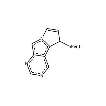 CCCCCC1C=Cn2cc3ncncc3c21